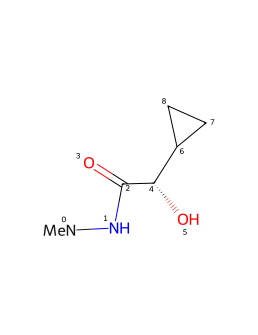 CNNC(=O)[C@@H](O)C1CC1